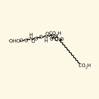 O=[C]COCCOCCNC(=O)COCCOCCNC(=O)C[C@@H](NC(=O)C1CCN(C(=O)CCCCCCCCCCCCCCCCCCC(=O)O)CC1)C(=O)O